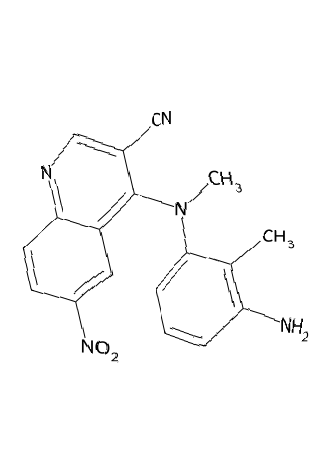 Cc1c(N)cccc1N(C)c1c(C#N)cnc2ccc([N+](=O)[O-])cc12